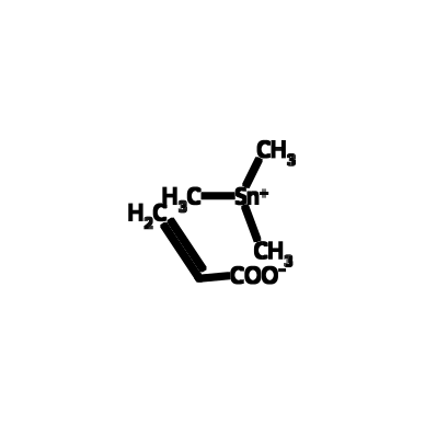 C=CC(=O)[O-].[CH3][Sn+]([CH3])[CH3]